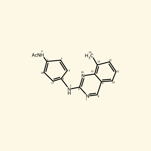 CC(=O)Nc1ccc(Nc2ncc3cccc(C)c3n2)cc1